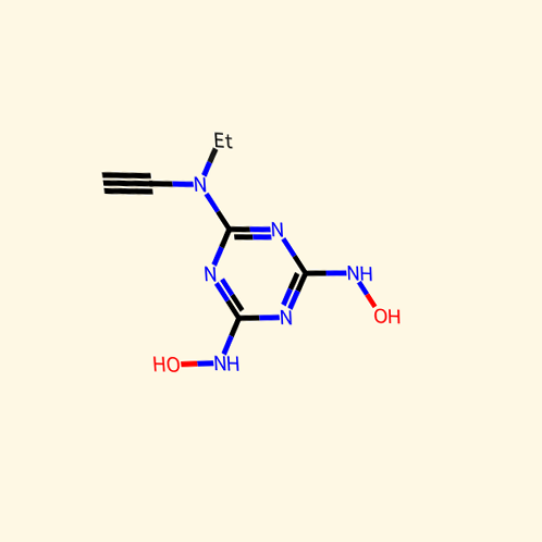 C#CN(CC)c1nc(NO)nc(NO)n1